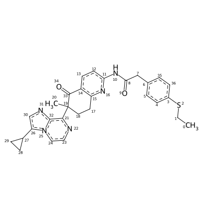 CCSc1ccc(CC(=O)Nc2ccc3c(n2)CCC(C)(c2nccn4c(C5CC5)cnc24)C3=O)cc1